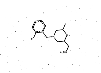 CC(=O)NCC1CN(Cc2ccccc2Cl)CC(C)O1